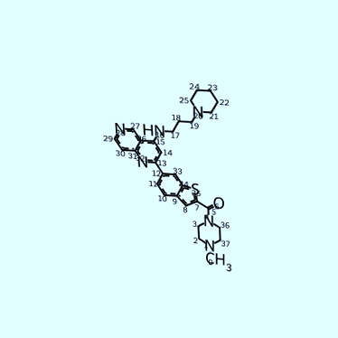 CN1CCN(C(=O)c2cc3ccc(-c4cc(NCCCN5CCCCC5)c5cnccc5n4)cc3s2)CC1